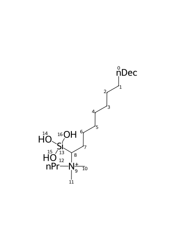 CCCCCCCCCCCCCCCCCC([N+](C)(C)CCC)[Si](O)(O)O